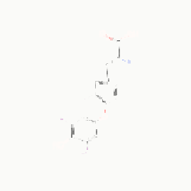 N[C@@H](Cc1ccc(Oc2cc(I)c(O)c([125I])c2)c(I)c1)C(=O)O